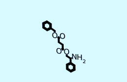 N[C@H](COC(=O)CCC(=O)OCc1ccccc1)c1ccccc1